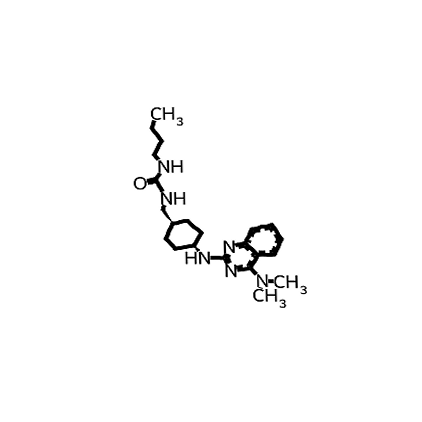 CCCCNC(=O)NC[C@H]1CC[C@@H](Nc2nc(N(C)C)c3ccccc3n2)CC1